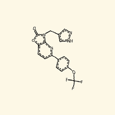 O=c1oc2ccc(-c3ccc(OC(F)(F)F)cc3)nc2n1Cc1cn[nH]c1